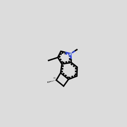 Cc1cn(C)c2ccc3c(c12)[C@@H](C)C3